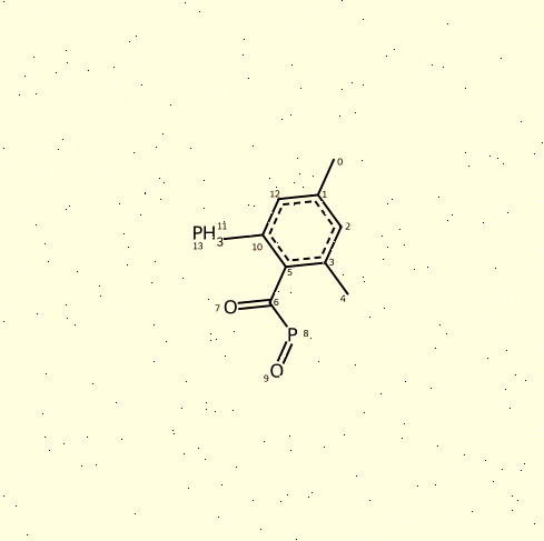 Cc1cc(C)c(C(=O)P=O)c(C)c1.P